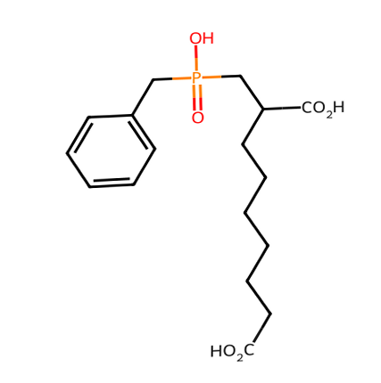 O=C(O)CCCCCCC(CP(=O)(O)Cc1ccccc1)C(=O)O